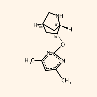 Cc1cc(C)nc(O[C@@H]2C[C@@H]3CN[C@H]2C3)n1